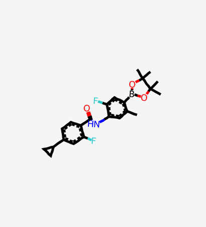 Cc1cc(NC(=O)c2ccc(C3CC3)cc2F)c(F)cc1B1OC(C)(C)C(C)(C)O1